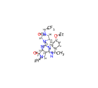 CCOc1ccc(C(C)Nc2nc(N3CCN(CC(F)(F)F)C(=O)C3)nc3c2CN(C(C)C)C3=O)cc1